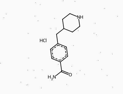 Cl.NC(=O)c1ccc(CC2CCNCC2)cc1